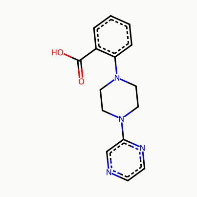 O=C(O)c1ccccc1N1CCN(c2cnccn2)CC1